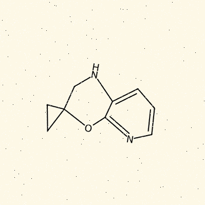 c1cnc2c(c1)NCC1(CC1)O2